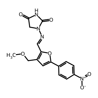 COCc1cc(-c2ccc([N+](=O)[O-])cc2)oc1/C=N/N1CC(=O)NC1=O